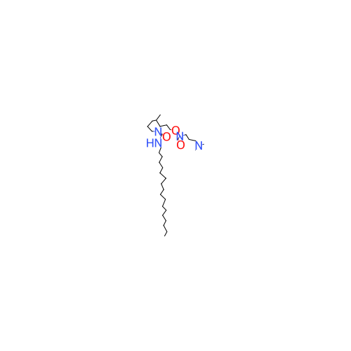 CCCCCCCCCCCCCCCCCCNC(=O)N1CCCC(C)C1CCON(C=O)CCCN(C)C